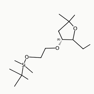 CCC1OC(C)(C)C[C@H]1OCCO[Si](C)(C)C(C)(C)C